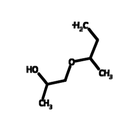 [CH2]CC(C)OCC(C)O